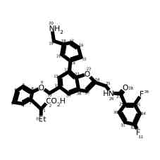 CCC(C(=O)O)c1ccccc1OCc1cc(-c2cccc(CN)c2)c2oc(CNC(=O)c3ccc(F)cc3F)cc2c1